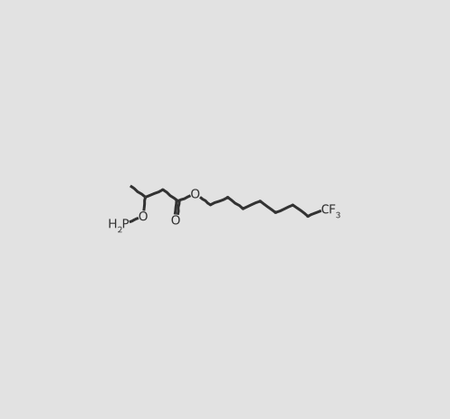 CC(CC(=O)OCCCCCCCC(F)(F)F)OP